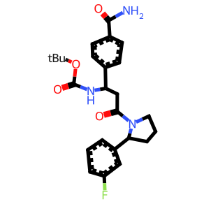 CC(C)(C)OC(=O)NC(CC(=O)N1CCCC1c1cccc(F)c1)c1ccc(C(N)=O)cc1